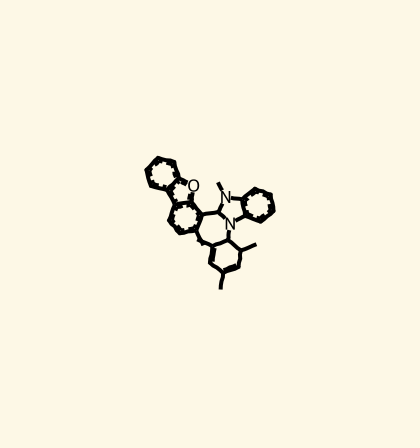 CC1=CC(C)C(N2c3ccccc3N(C)C2c2c(C)ccc3c2oc2ccccc23)C(C)=C1